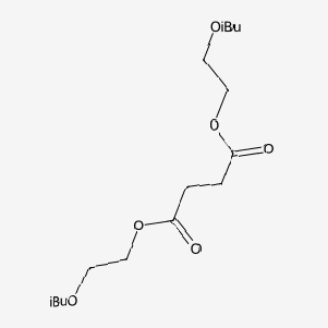 CC(C)COCCOC(=O)CCC(=O)OCCOCC(C)C